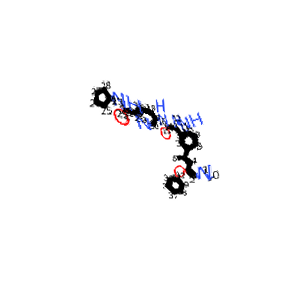 C=N/C=C(\C=C(/C)c1ccc2[nH]nc(C(=O)Nc3ccc(C(=O)NC4CCCC4)nc3)c2c1)Oc1ccccc1